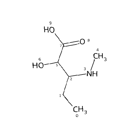 CCC(NC)C(O)C(=O)O